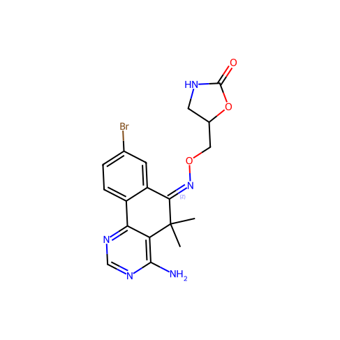 CC1(C)/C(=N/OCC2CNC(=O)O2)c2cc(Br)ccc2-c2ncnc(N)c21